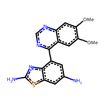 COc1cc2ncnc(-c3cc(N)cc4sc(N)nc34)c2cc1OC